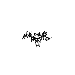 CN(C)C(=O)Nc1cncc(-c2cnc3[nH]nc(-c4nc5c(-c6cccc(F)c6)cncc5n4N)c3c2)c1